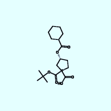 CC(C)(C)OC(=O)[N+]1(C(=O)O)CC[C@@H](OC(=O)C2CCCCC2)C1